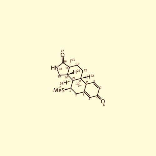 CS[C@@H]1CC2=CC(=O)C=C[C@]2(C)[C@H]2CC[C@]3(C)C(=O)NC[C@H]3[C@H]12